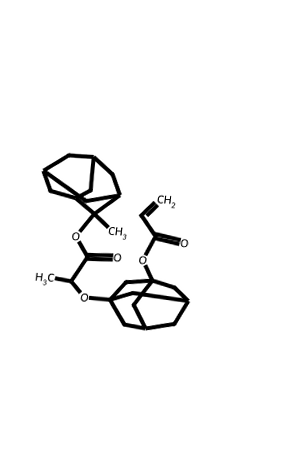 C=CC(=O)OC12CC3CC(C1)CC(OC(C)C(=O)OC1(C)C4CC5CC(C4)CC1C5)(C3)C2